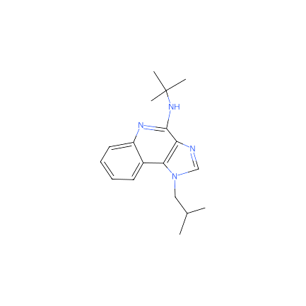 CC(C)Cn1cnc2c(NC(C)(C)C)nc3ccccc3c21